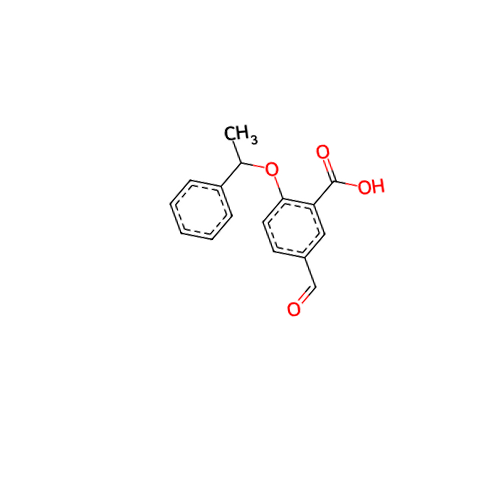 CC(Oc1ccc(C=O)cc1C(=O)O)c1ccccc1